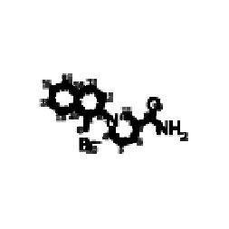 Cc1c(-[n+]2cccc(C(N)=O)c2)ccc2ccccc12.[Br-]